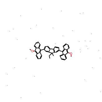 CCC1(C)c2cc(-c3c4ccccc4c(OC)c4ccccc34)ccc2-c2ccc(-c3c4ccccc4c(OC)c4ccccc34)cc21